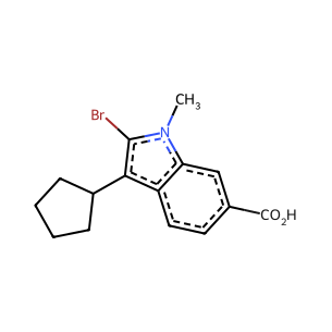 Cn1c(Br)c(C2CCCC2)c2ccc(C(=O)O)cc21